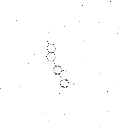 CC1CCC2CC(c3ccc(-c4cccc(F)c4)c(F)c3)CCC2C1